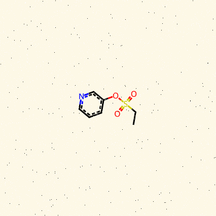 CCS(=O)(=O)Oc1cccnc1